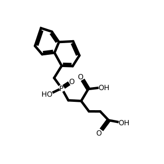 O=C(O)CCC(CP(=O)(O)Cc1cccc2ccccc12)C(=O)O